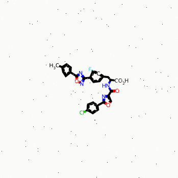 Cc1ccc(-c2nc(-c3ccc(CC(NC(=O)c4coc(-c5ccc(Cl)cc5)n4)C(=O)O)cc3F)no2)cc1